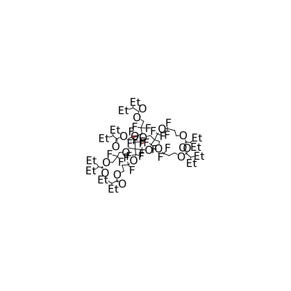 CCC(CC)C(=O)OCCC(F)(F)OCC(COCC(F)(F)COC(=O)C(CC)CC)(C(F)(F)OC(F)(F)CCOC(=O)C(CC)CC)C(F)(F)OC(F)(F)C(COCC(F)(F)COC(=O)C(CC)CC)(C(F)(F)OCC(F)(F)COC(=O)C(CC)CC)C(F)(F)OC(F)(F)CCOC(=O)C(CC)CC